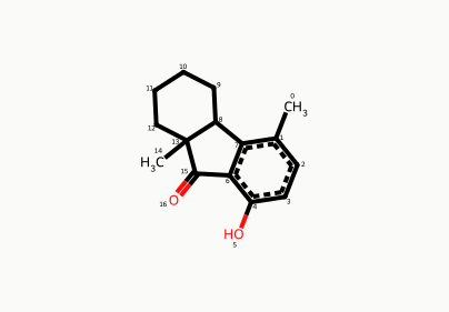 Cc1ccc(O)c2c1C1CCCCC1(C)C2=O